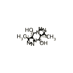 Cc1nnn2c1[C@H](O)n1nnc(C)c1[C@H]2O